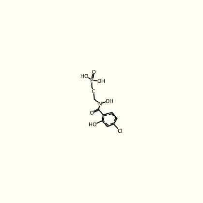 O=C(c1ccc(Cl)cc1O)N(O)CCCP(=O)(O)O